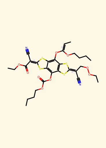 C/C=C(\OCCCC)Oc1c2c(c(OC(=O)OCCCC)c3c1S/C(=C(/C#N)COOCC)S3)S/C(=C(/C#N)C(=O)OCC)S2